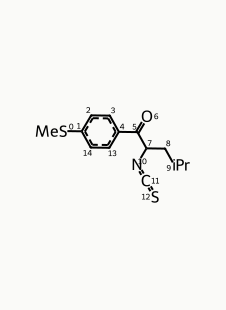 CSc1ccc(C(=O)C(CC(C)C)N=C=S)cc1